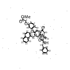 COC(=O)COc1ccc(C[C@H]2C(=O)N(Cc3cccc4ccccc34)C[C@H]3N2C(=O)CN3N(C)C(=O)NCc2ccccc2)cc1